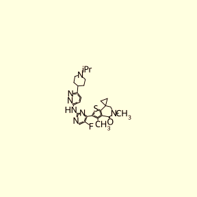 Cc1c(-c2nc(Nc3ccc(C4CCN(C(C)C)CC4)nn3)ncc2F)sc2c1C(=O)N(C)CC21CC1